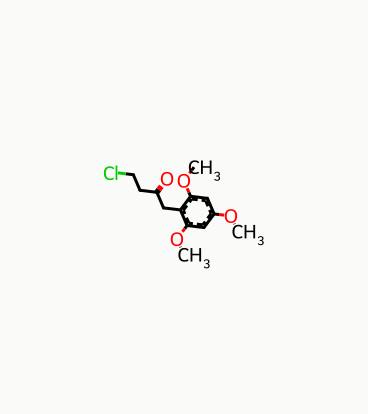 COc1cc(OC)c(CC(=O)CCCl)c(OC)c1